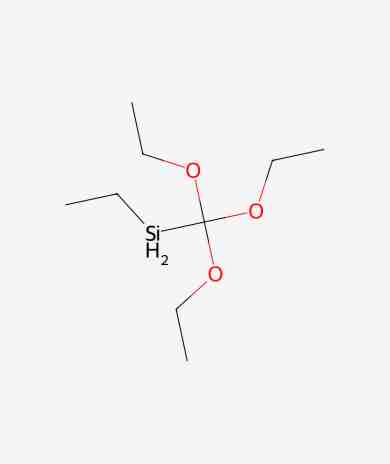 CCOC(OCC)(OCC)[SiH2]CC